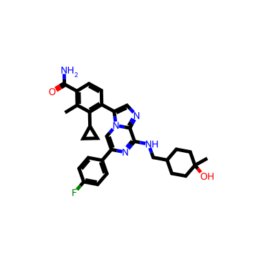 Cc1c(C(N)=O)ccc(-c2cnc3c(NCC4CCC(C)(O)CC4)nc(-c4ccc(F)cc4)cn23)c1C1CC1